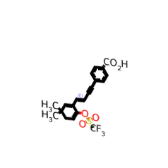 CC1(C)C=C(/C=C/C#Cc2ccc(C(=O)O)cc2)C(OS(=O)(=O)C(F)(F)F)=CC1